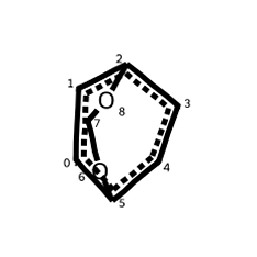 [c]1cc2ccc1OCO2